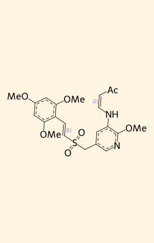 COc1cc(OC)c(/C=C/S(=O)(=O)Cc2cnc(OC)c(N/C=C\C(C)=O)c2)c(OC)c1